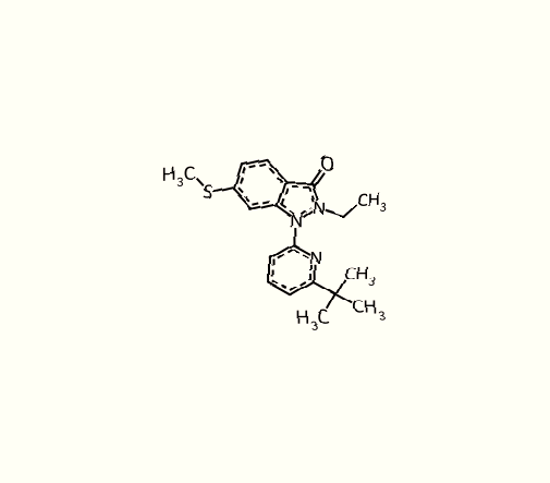 CCn1c(=O)c2ccc(SC)cc2n1-c1cccc(C(C)(C)C)n1